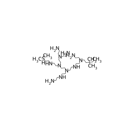 CCC(C)(C)CCN(CCN)CCNCCN(CCNCCN)CCN(CCNCC[SH](C)C)CCN(CCN)CCN